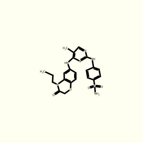 CCCN1C(=O)COc2ccc(Nc3nc(Nc4ccc(S(N)(=O)=O)cc4)ncc3C)cc21